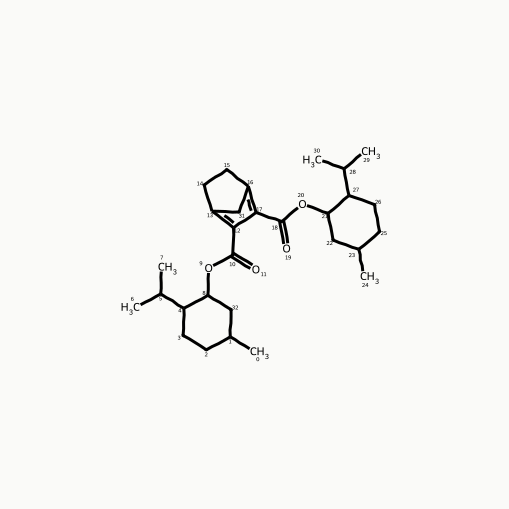 CC1CCC(C(C)C)C(OC(=O)C2=C3CCC(=C2C(=O)OC2CC(C)CCC2C(C)C)C3)C1